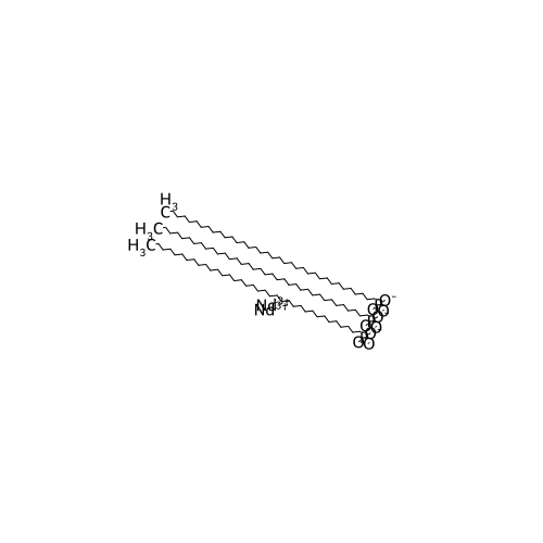 CCCCCCCCCCCCCCCCCCCCCCCCCCCCCCCCCCCCP(=O)([O-])[O-].CCCCCCCCCCCCCCCCCCCCCCCCCCCCCCCCCCCCP(=O)([O-])[O-].CCCCCCCCCCCCCCCCCCCCCCCCCCCCCCCCCCCCP(=O)([O-])[O-].[Nd+3].[Nd+3]